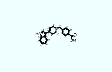 O=C(O)c1ccc(CN2CC=C(c3c[nH]c4ccccc34)CC2)cc1